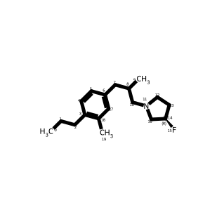 CCCc1ccc(CC(C)CN2CC[C@@H](F)C2)cc1C